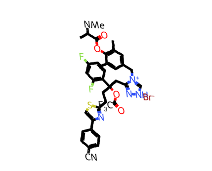 CNC(C)C(=O)Oc1c(C)cc(C[n+]2c[nH]nc2CC(CCc2nc(-c3ccc(C#N)cc3)cs2)(OC(=O)C(F)(F)F)c2ccc(F)cc2F)cc1C.[Br-]